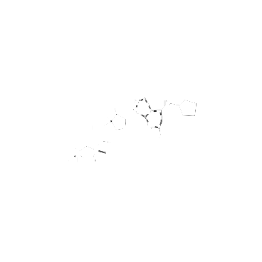 O=P(O)(O)CP(=O)(O)OC[C@H]1O[C@@H](n2ncc3c(NC4CCCC4)cc(Cl)nc32)[C@H](O)C1(O)O